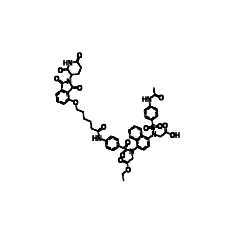 CCOC(=O)CN(c1ccc(N(CC(=O)O)S(=O)(=O)c2ccc(NC(C)=O)cc2)c2ccccc12)S(=O)(=O)c1ccc(NC(=O)CCCCCOc2cccc3c2C(=O)N(C2CCC(=O)NC2=O)C3=O)cc1